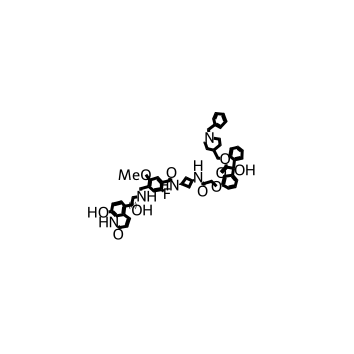 COc1cc(C(=O)N[C@H]2C[C@H](NC(=O)COc3cccc(C(O)(C(=O)OCC4CCN(Cc5ccccc5)CC4)c4ccccc4)c3)C2)c(F)cc1CNC[C@H](O)c1ccc(O)c2[nH]c(=O)ccc12